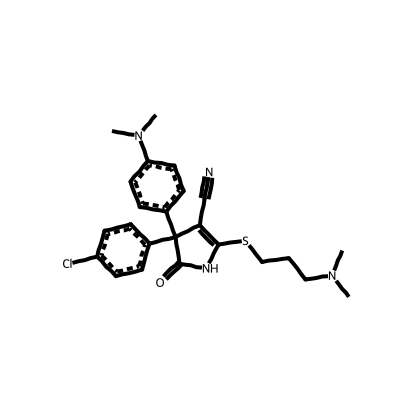 CN(C)CCCSC1=C(C#N)C(c2ccc(Cl)cc2)(c2ccc(N(C)C)cc2)C(=O)N1